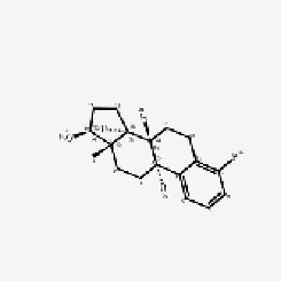 C[C@]12CC[C@@H]3c4cccc(F)c4CC[C@H]3[C@@H]1CC[C@@H]2O